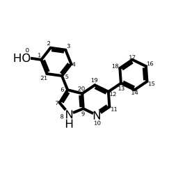 Oc1cccc(-c2c[nH]c3ncc(-c4ccccc4)cc23)c1